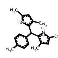 Cc1ccc(C(c2[nH]c(C)cc2C)c2[nH]c(C)cc2C)cc1